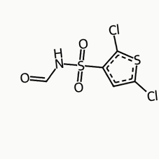 O=CNS(=O)(=O)c1cc(Cl)sc1Cl